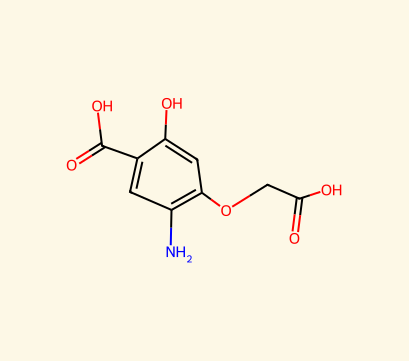 Nc1cc(C(=O)O)c(O)cc1OCC(=O)O